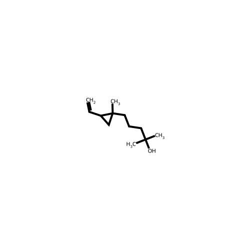 C=CC1CC1(C)CCCC(C)(C)O